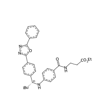 CCOC(=O)CCNC(=O)c1ccc(N[C@@H](c2ccc(-c3nnc(-c4ccccc4)o3)cc2)C(C)CC)cc1